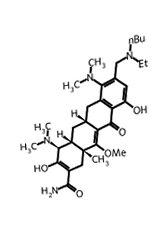 CCCCN(CC)Cc1cc(O)c2c(c1N(C)C)C[C@H]1C[C@H]3[C@H](N(C)C)C(O)=C(C(N)=O)C[C@@]3(C)C(OC)=C1C2=O